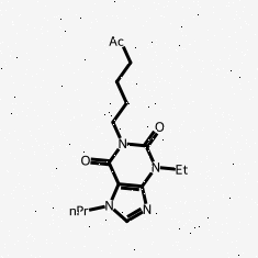 CCCn1cnc2c1c(=O)n(CCCCC(C)=O)c(=O)n2CC